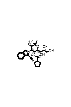 CC1(F)O[C@@H]([C@H](O)[C@H](O)CO)[C@H](NC(=O)C2CCCC2)[C@@H](n2cc3ccccc3c2C#N)C1F